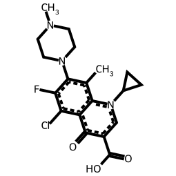 Cc1c(N2CCN(C)CC2)c(F)c(Cl)c2c(=O)c(C(=O)O)cn(C3CC3)c12